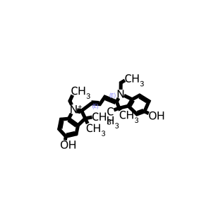 CCN1/C(=C/C=C/C2=[N+](CC)c3ccc(O)cc3C2(C)C)C(C)(C)c2cc(O)ccc21